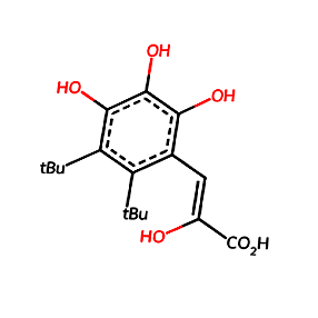 CC(C)(C)c1c(O)c(O)c(O)c(/C=C(\O)C(=O)O)c1C(C)(C)C